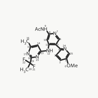 COc1ccc(-c2cnc(NC(C)=O)cc2Nc2cc(C)nc(C(C)(F)F)n2)nc1